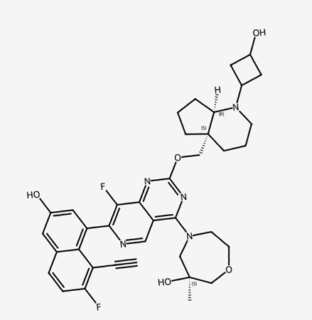 C#Cc1c(F)ccc2cc(O)cc(-c3ncc4c(N5CCOC[C@@](C)(O)C5)nc(OC[C@]56CCC[C@H]5N(C5CC(O)C5)CCC6)nc4c3F)c12